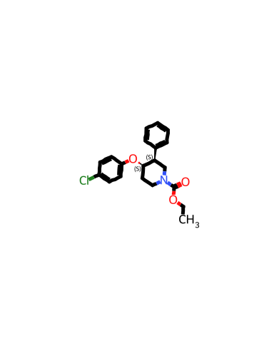 CCOC(=O)N1CC[C@H](Oc2ccc(Cl)cc2)[C@@H](c2ccccc2)C1